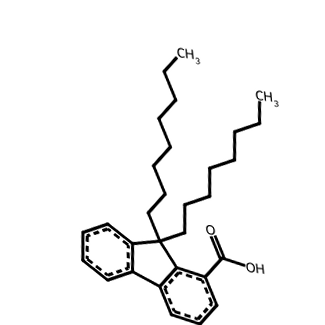 CCCCCCCCC1(CCCCCCCC)c2ccccc2-c2cccc(C(=O)O)c21